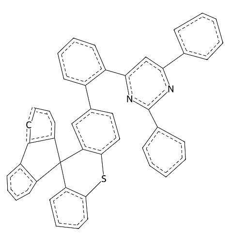 c1ccc(-c2cc(-c3ccccc3-c3ccc4c(c3)C3(c5ccccc5S4)c4ccccc4-c4ccccc43)nc(-c3ccccc3)n2)cc1